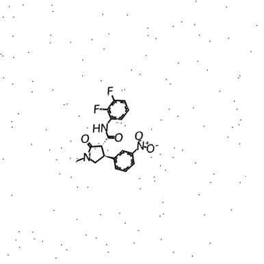 CN1C[C@H](c2cccc([N+](=O)[O-])c2)[C@@H](C(=O)Nc2cccc(F)c2F)C1=O